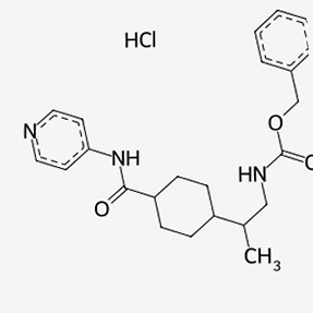 CC(CNC(=O)OCc1ccccc1)C1CCC(C(=O)Nc2ccncc2)CC1.Cl